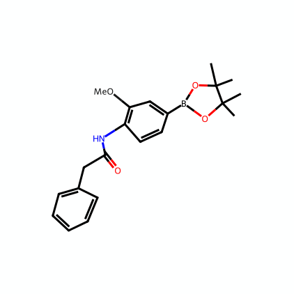 COc1cc(B2OC(C)(C)C(C)(C)O2)ccc1NC(=O)Cc1ccccc1